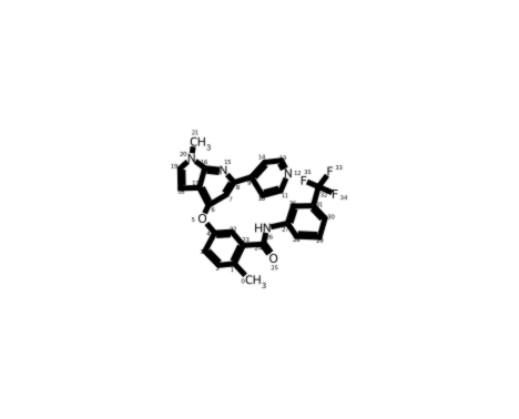 Cc1ccc(Oc2cc(-c3ccncc3)nc3c2ccn3C)cc1C(=O)Nc1cccc(C(F)(F)F)c1